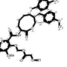 CCOCC(=O)OCOc1c(OC)ccnc1C(=O)N[C@H]1CCC[C@H](Cc2ccc(C(F)(F)F)cc2)[C@@H](Cc2ccc(OC(F)(F)F)cc2)[C@H](C)OC1=O